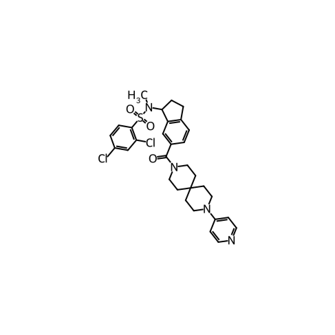 CN(C1CCc2ccc(C(=O)N3CCC4(CC3)CCN(c3ccncc3)CC4)cc21)S(=O)(=O)c1ccc(Cl)cc1Cl